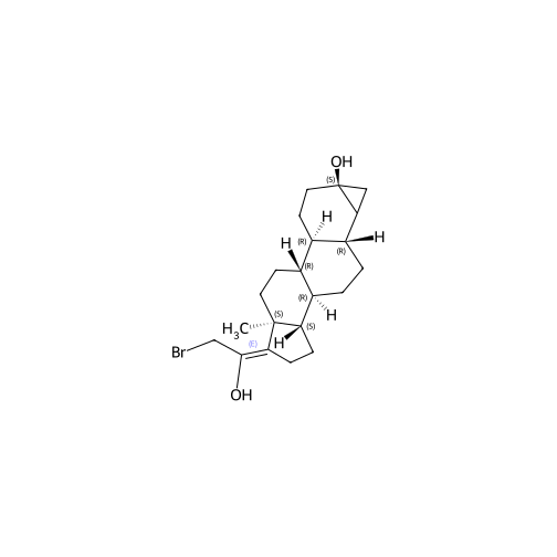 C[C@]12CC[C@@H]3[C@H]4CC[C@]5(O)CC5[C@@H]4CC[C@H]3[C@@H]1CC/C2=C(\O)CBr